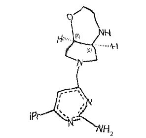 CC(C)c1cc(N2C[C@@H]3NCCO[C@@H]3C2)nc(N)n1